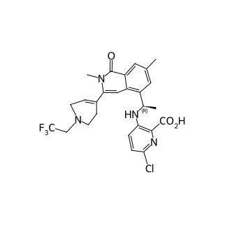 Cc1cc([C@@H](C)Nc2ccc(Cl)nc2C(=O)O)c2cc(C3=CCN(CC(F)(F)F)CC3)n(C)c(=O)c2c1